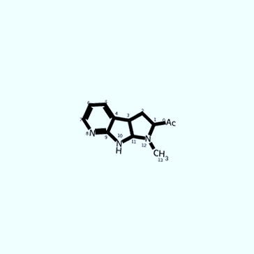 CC(=O)C1CC2c3cccnc3NC2N1C